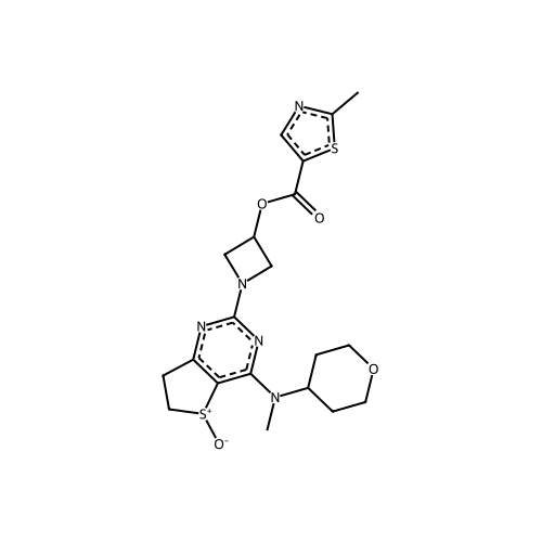 Cc1ncc(C(=O)OC2CN(c3nc4c(c(N(C)C5CCOCC5)n3)[S+]([O-])CC4)C2)s1